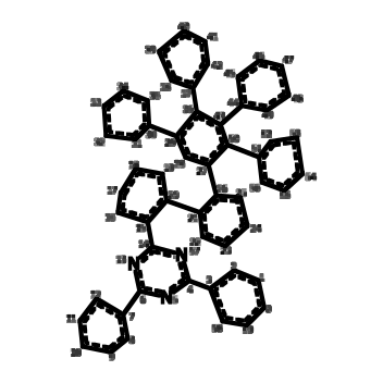 c1ccc(-c2nc(-c3ccccc3)nc(-c3ccccc3-c3ccccc3-c3cc(-c4ccccc4)c(-c4ccccc4)c(-c4ccccc4)c3-c3ccccc3)n2)cc1